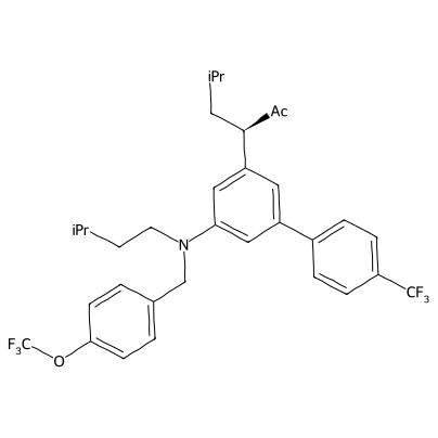 CC(=O)[C@H](CC(C)C)c1cc(-c2ccc(C(F)(F)F)cc2)cc(N(CCC(C)C)Cc2ccc(OC(F)(F)F)cc2)c1